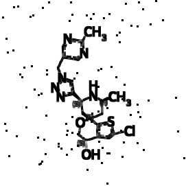 Cc1ncc(Cn2cc([C@@H]3C[C@]4(C[C@H](C)N3)OC[C@@H](O)c3cc(Cl)sc34)nn2)cn1